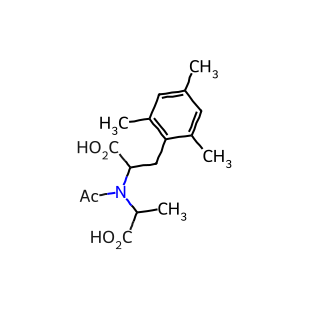 CC(=O)N(C(C)C(=O)O)C(Cc1c(C)cc(C)cc1C)C(=O)O